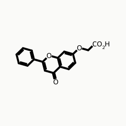 O=C(O)COc1ccc2c(=O)cc(-c3ccccc3)oc2c1